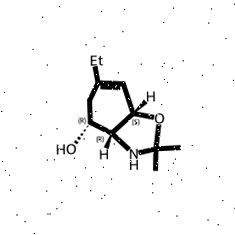 CCC1=C[C@@H]2OC(C)(C)N[C@@H]2[C@H](O)C1